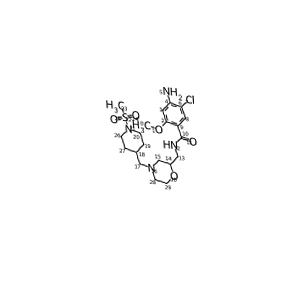 COc1cc(N)c(Cl)cc1C(=O)NCC1CN(CC2CCN(S(C)(=O)=O)CC2)CCO1